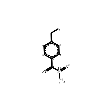 CCc1ccc(C(=O)[PH](P)=S)cc1